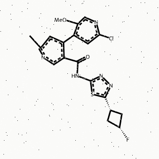 COc1cnc(Cl)cc1-c1cc(C)ncc1C(=O)Nc1nnc([C@H]2C[C@@H](F)C2)s1